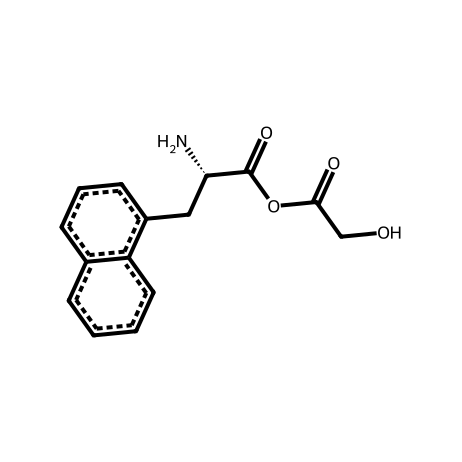 N[C@@H](Cc1cccc2ccccc12)C(=O)OC(=O)CO